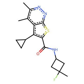 Cc1nnc2sc(C(=O)NC3CC(C)(F)C3)c(C3CC3)c2c1C